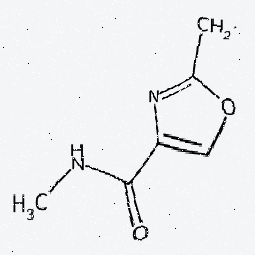 [CH2]c1nc(C(=O)NC)co1